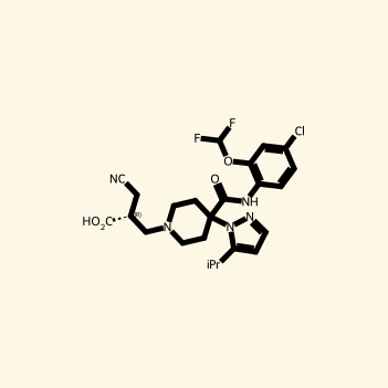 CC(C)c1ccnn1C1(C(=O)Nc2ccc(Cl)cc2OC(F)F)CCN(C[C@@H](CC#N)C(=O)O)CC1